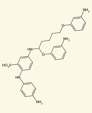 Nc1ccc(Nc2ccc(NC(CCCCOc3cccc(N)c3)Oc3cccc(N)c3)cc2S(=O)(=O)O)cc1